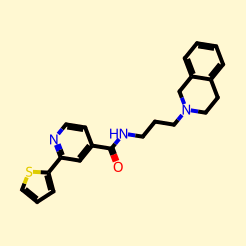 O=C(NCCCN1CCc2ccccc2C1)c1ccnc(-c2cccs2)c1